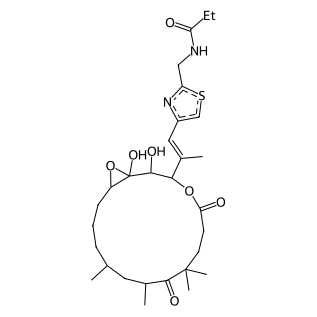 CCC(=O)NCc1nc(C=C(C)C2OC(=O)CCC(C)(C)C(=O)C(C)CC(C)CCCC3OC3(O)C2O)cs1